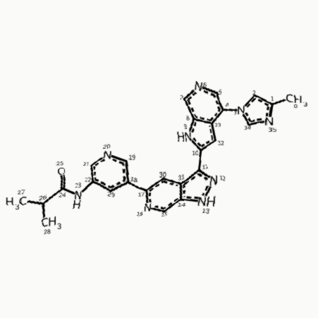 Cc1cn(-c2cncc3[nH]c(-c4n[nH]c5cnc(-c6cncc(NC(=O)C(C)C)c6)cc45)cc23)cn1